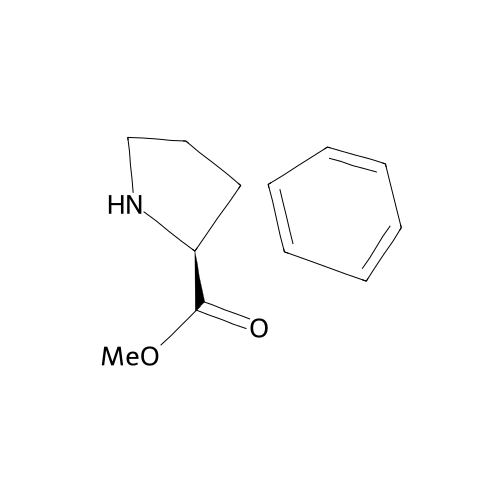 COC(=O)[C@@H]1CCCN1.c1ccccc1